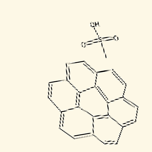 CS(=O)(=O)O.c1cc2ccc3ccc4ccc5ccc6ccc1c1c2c3c4c5c61